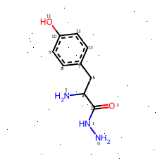 NNC(=O)C(N)Cc1ccc(O)cc1